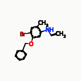 C=CNc1cc(OCc2ccccc2)c(Br)cc1C